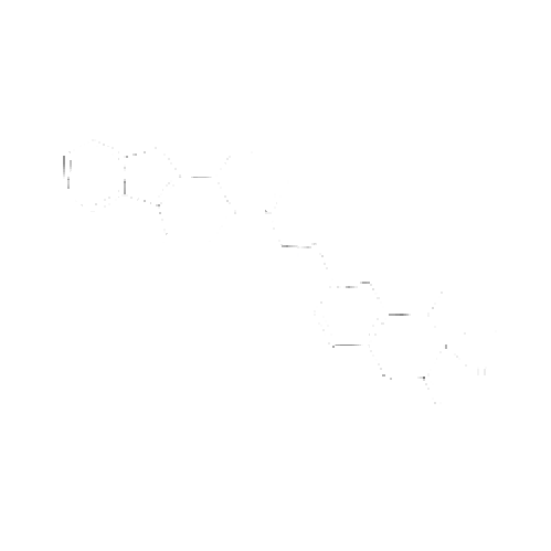 Cc1c(C(C)N(C)C(=O)/C=C/c2cnc3c(c2)C(O)C(C)(C)C(=O)N3)oc2ccccc12